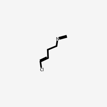 C=NCC/C=C/Cl